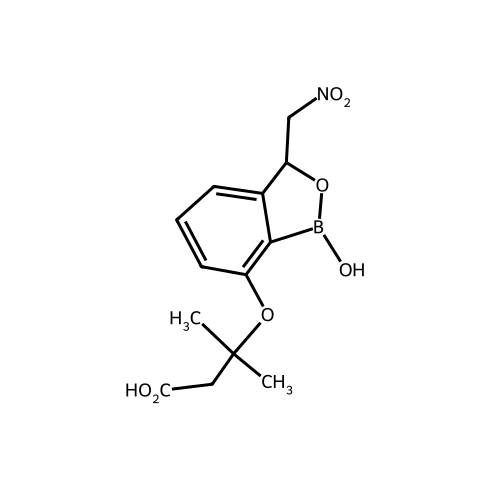 CC(C)(CC(=O)O)Oc1cccc2c1B(O)OC2C[N+](=O)[O-]